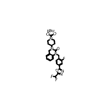 CC(C)(C)OC(=O)N1CCC(N2Cc3ccccc3N(Cc3ccc(-c4nnc(C(F)F)o4)cc3F)C2=O)CC1